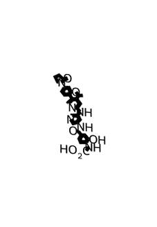 CC1Oc2cc(N3CCCC3=O)ccc2-c2cnc(Nc3cncc(NC(=O)c4ccc(NC(=O)O)c(O)c4)c3)cc21